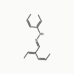 C/C=C\C(C=NNC(/C=C\C)=C/C)=C/C